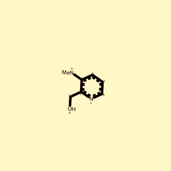 CNc1c[c]cnc1CO